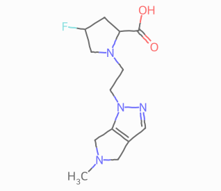 CN1Cc2cnn(CCN3CC(F)CC3C(=O)O)c2C1